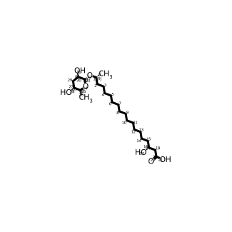 C[C@H](CCCCCCCCCCCCCC[C@@H](O)CC(=O)O)O[C@@H]1O[C@@H](C)[C@H](O)C[C@H]1O